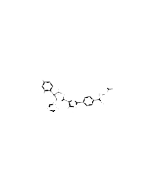 CC(=O)ONC(=N)c1ccc(-c2nc(C)c(C(=O)N[C@H](C)[C@](O)(Cn3cncn3)c3ccc(F)cc3F)s2)cc1